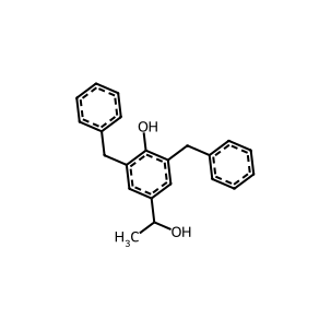 CC(O)c1cc(Cc2ccccc2)c(O)c(Cc2ccccc2)c1